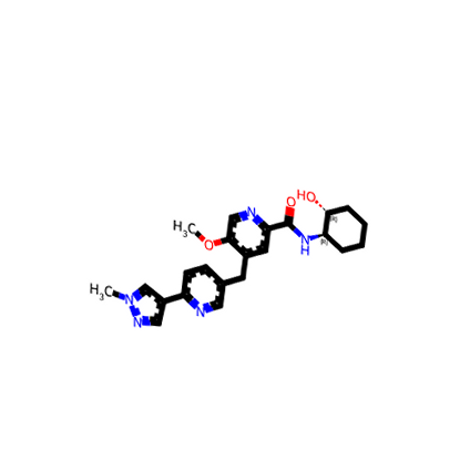 COc1cnc(C(=O)N[C@@H]2CCCC[C@H]2O)cc1Cc1ccc(-c2cnn(C)c2)nc1